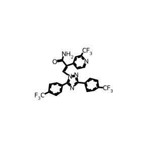 NC(=O)C(=Cn1nc(-c2ccc(C(F)(F)F)cc2)nc1-c1ccc(C(F)(F)F)cc1)c1ccnc(C(F)(F)F)c1